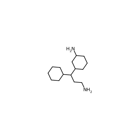 NCCC(C1CCCCC1)C1CCCC(N)C1